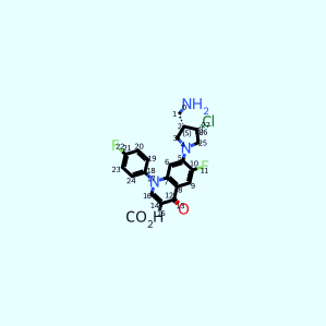 NC[C@H]1CN(c2cc3c(cc2F)c(=O)c(C(=O)O)cn3-c2ccc(F)cc2)C[C@H]1Cl